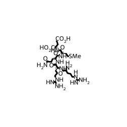 CSCC[C@@H](NC(=O)[C@H](CCC(N)=O)NC(=O)[C@H](CCCNC(=N)N)NC(=O)[C@@H](N)CCCNC(=N)N)C(=O)N[C@@H](CCC(=O)O)C(=O)O